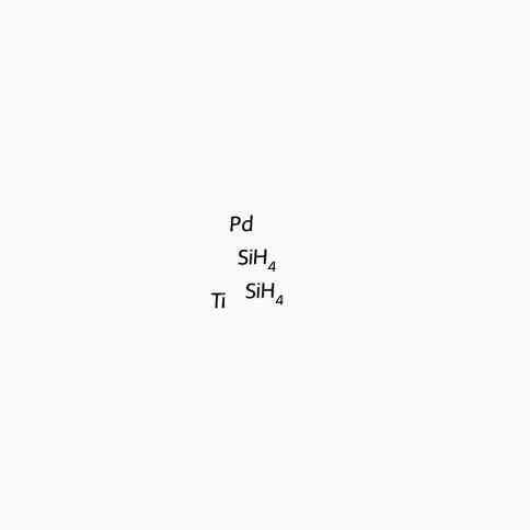 [Pd].[SiH4].[SiH4].[Ti]